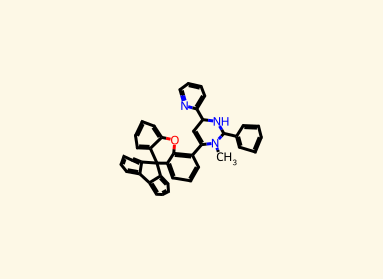 CN1C(c2cccc3c2Oc2ccccc2C32c3ccccc3-c3ccccc32)=CC(c2ccccn2)NC1c1ccccc1